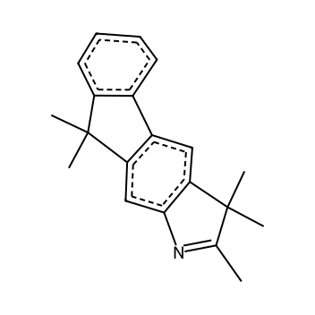 CC1=Nc2cc3c(cc2C1(C)C)-c1ccccc1C3(C)C